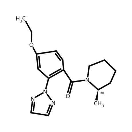 CCOc1ccc(C(=O)N2CCCC[C@H]2C)c(-n2nccn2)c1